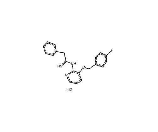 Cl.N=C(Cc1ccccc1)Nc1ncccc1OCc1ccc(F)cc1